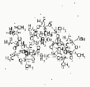 CCCC[Si](C)(C)O[Si](C)(C)O[Si](C)(C)O[Si](C)(C)O[Si](C)(C)O[Si](C)(C)O[Si](C)(C)O[Si](C)(C)O[Si](C)(C)O[Si](C)(C)O[Si](C)(C)O[Si](C)(C)O[Si](C)(C)O[SiH](C)C